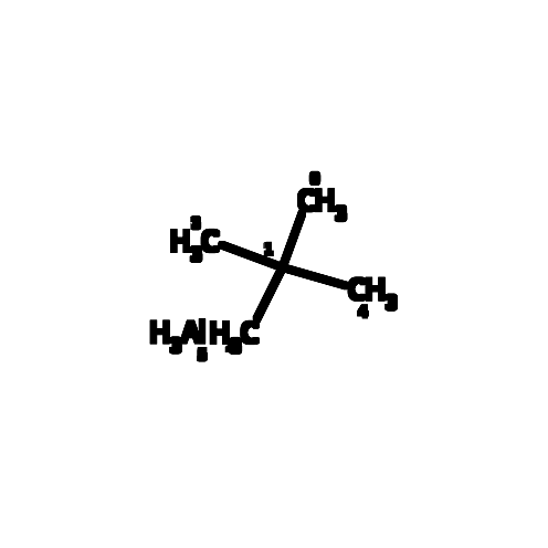 CC(C)(C)C.[AlH3]